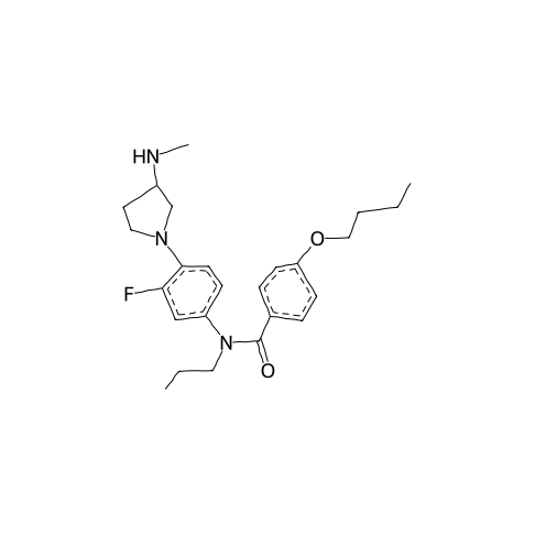 CCCCOc1ccc(C(=O)N(CCC)c2ccc(N3CCC(NC)C3)c(F)c2)cc1